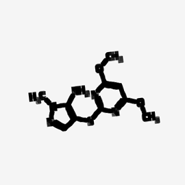 COc1cc(OC)nc(Sc2cnn(C)c2N)n1